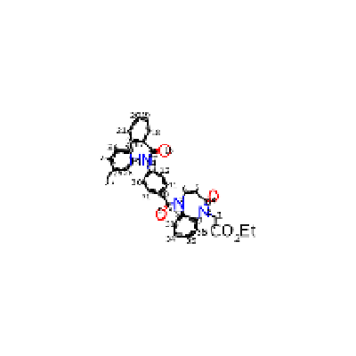 CCOC(=O)CN1C(=O)CCN(C(=O)c2ccc(NC(=O)c3ccccc3-c3ccc(C)cc3)cc2)c2ccccc21